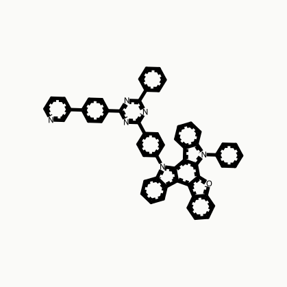 c1ccc(-c2nc(-c3ccc(-c4cccnc4)cc3)nc(-c3ccc(-n4c5ccccc5c5c6c7ccccc7oc6c6c(c7ccccc7n6-c6ccccc6)c54)cc3)n2)cc1